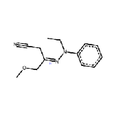 CCN(/N=C(\CC#N)COC)c1ccccc1